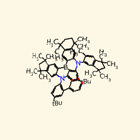 Cc1cc2c(cc1N1c3cc4c(cc3B3c5cc6c(cc5N(c5ccc(C(C)(C)C)cc5-c5ccccc5)c5cc(C(C)(C)C)cc1c53)C(C)(C)CC6(C)C)C(C)(C)CCC4(C)C)C(C)(C)CC2(C)C